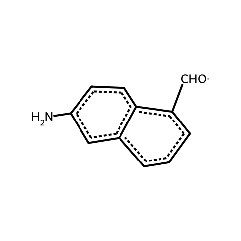 Nc1ccc2c([C]=O)cccc2c1